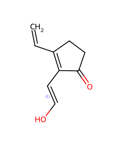 C=CC1=C(/C=C/O)C(=O)CC1